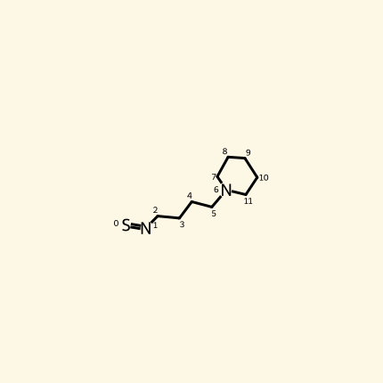 S=NCCCCN1CCCCC1